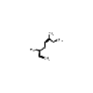 C=CC(C)CC=C(C)CC